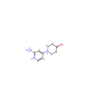 Nc1cc(N2CCC(=O)CC2)ccn1